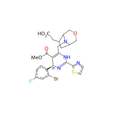 COC(=O)C1=C(CN2C3COCC2C(CC(=O)O)C3)NC(c2nccs2)=N[C@H]1c1ccc(F)cc1Br